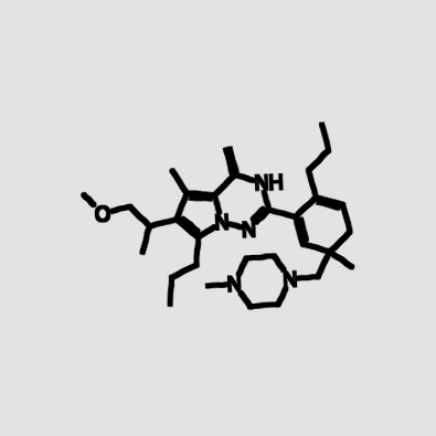 C=C1NC(C2=CC(C)(CN3CCN(C)CC3)CC=C2CCC)=Nn2c(CCC)c(C(C)COC)c(C)c21